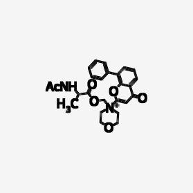 CC(=O)NC(C)C(=O)OC[N+]1(c2cc(=O)c3cccc(-c4ccccc4)c3o2)CCOCC1